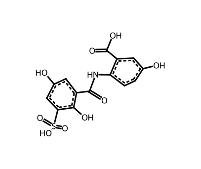 O=C(O)c1cc(O)ccc1NC(=O)c1cc(O)cc(S(=O)(=O)O)c1O